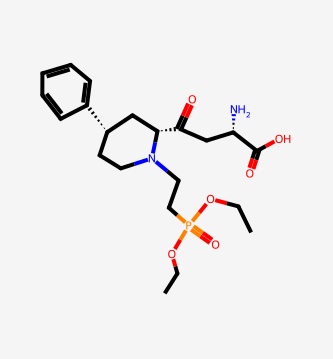 CCOP(=O)(CCN1CC[C@H](c2ccccc2)C[C@@H]1C(=O)C[C@H](N)C(=O)O)OCC